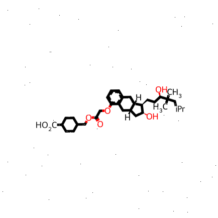 CC(C)CC(C)(C)[C@H](O)CC[C@@H]1[C@H]2Cc3cccc(OCC(=O)OCC4CCC(C(=O)O)CC4)c3C[C@H]2C[C@H]1O